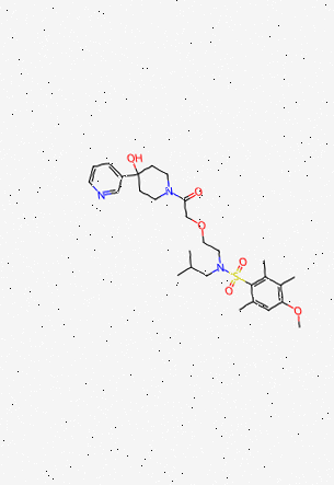 COc1cc(C)c(S(=O)(=O)N(CCOCC(=O)N2CCC(O)(c3cccnc3)CC2)CC(C)C)c(C)c1C